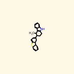 CC1c2c([nH]c3ccccc23)CCC1C1=CC=C2SC3C=CC=CC3C2C1